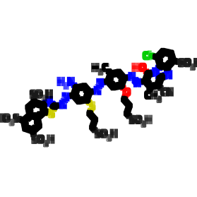 Cc1cc(N=Nc2c(C)c(C#N)c3nc4c(S(=O)(=O)O)ccc(Cl)c4n3c2O)c(OCCCS(=O)(=O)O)cc1N=Nc1cc(N)c(N=Nc2nc3c(S(=O)(=O)O)cc4c(S(=O)(=O)O)cc(S(=O)(=O)O)cc4c3s2)cc1SCCCS(=O)(=O)O